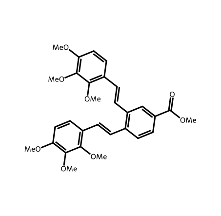 COC(=O)c1ccc(C=Cc2ccc(OC)c(OC)c2OC)c(C=Cc2ccc(OC)c(OC)c2OC)c1